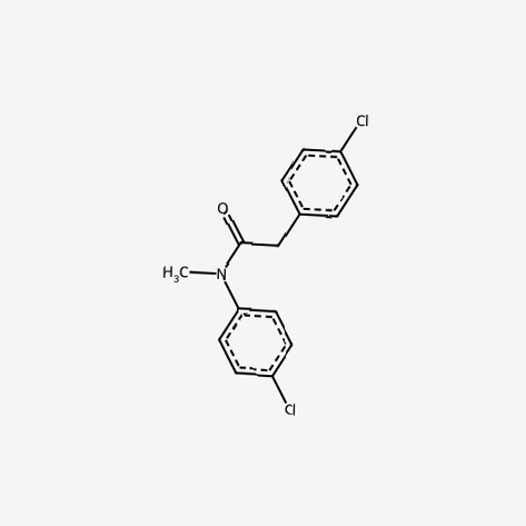 CN(C(=O)Cc1ccc(Cl)cc1)c1ccc(Cl)cc1